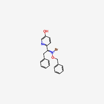 Oc1ccc(C(Cc2ccccc2)=[N+](Br)OCc2ccccc2)nc1